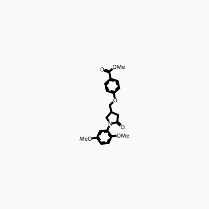 COC(=O)c1ccc(OCC2CC(=O)N(c3cc(OC)ccc3OC)C2)cc1